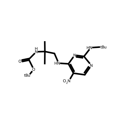 CC(C)(C)Nc1ncc([N+](=O)[O-])c(NCC(C)(C)NC(=O)OC(C)(C)C)n1